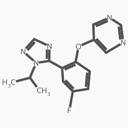 CC(C)n1ncnc1-c1cc(F)ccc1Oc1cncnc1